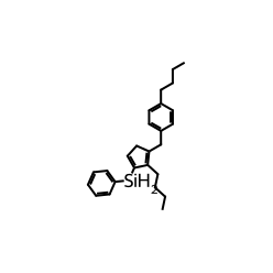 CCCCC1=C(Cc2ccc(CCCC)cc2)CC=C1[SiH2]c1ccccc1